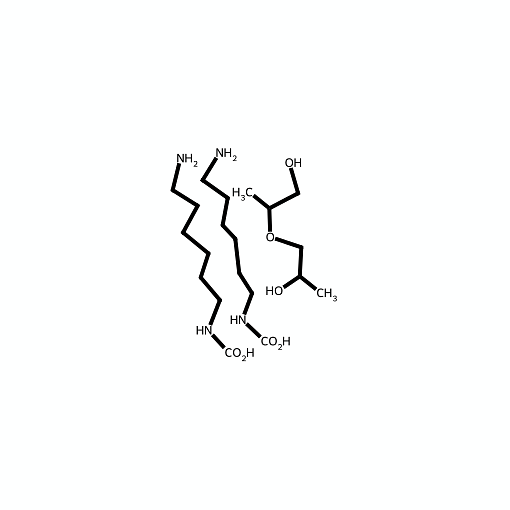 CC(O)COC(C)CO.NCCCCCCNC(=O)O.NCCCCCCNC(=O)O